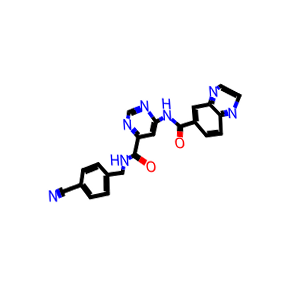 N#Cc1ccc(CNC(=O)c2cc(NC(=O)c3ccc4nccnc4c3)ncn2)cc1